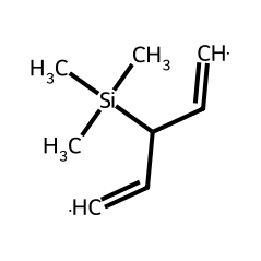 [CH]=CC(C=[CH])[Si](C)(C)C